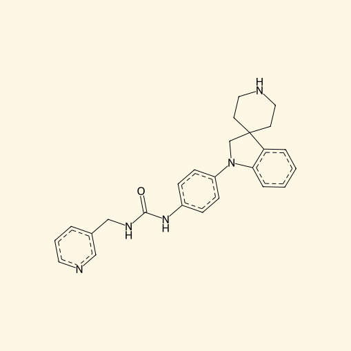 O=C(NCc1cccnc1)Nc1ccc(N2CC3(CCNCC3)c3ccccc32)cc1